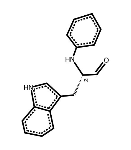 O=[C][C@H](Cc1c[nH]c2ccccc12)Nc1ccccc1